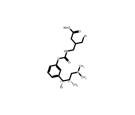 CC[C@H](c1cccc(OC(=O)NCC(CC(=O)OC)CC(C)C)c1)[C@@H](C)CN(C)C